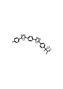 Cc1ccc(-c2nnc(-c3ccc(-c4nnc(-c5ccc(C(C)(C(F)F)C(F)(F)F)cc5)o4)cc3)o2)cc1